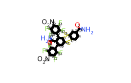 NC(=O)c1ccc2c(c1)Sc1c(cc(-c3c(F)c(F)c([N+](=O)[O-])c(F)c3F)c(C(N)=O)c1-c1c(F)c(F)c([N+](=O)[O-])c(F)c1F)S2